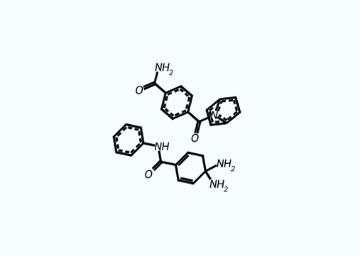 NC(=O)c1ccc(C(=O)n2c3ccc2cc3)cc1.NC1(N)C=CC(C(=O)Nc2ccccc2)=CC1